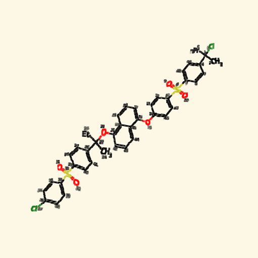 CCCC(C)(Cl)c1ccc(S(=O)(=O)c2ccc(Oc3cccc4c(OC(C)(CC)c5ccc(S(=O)(=O)c6ccc(Cl)cc6)cc5)cccc34)cc2)cc1